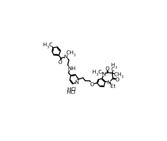 CCN1C(=O)C(C)(C)C(=O)N(C)c2cc(OCCCc3cc(CNCCN(C)C(=O)c4ccc(C)cc4)ccn3)ccc21.Cl.Cl